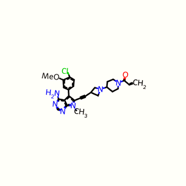 C=CC(=O)N1CCC(N2CC(C#Cc3c(-c4ccc(Cl)c(OC)c4)c4c(N)ncnc4n3C)C2)CC1